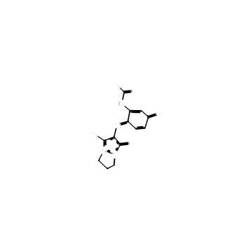 N=C1C=CC(=Nc2c(N)n3n(c2=O)CCC3)C(NC(N)=O)=C1